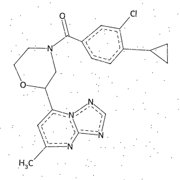 Cc1cc(C2CN(C(=O)c3ccc(C4CC4)c(Cl)c3)CCO2)n2ncnc2n1